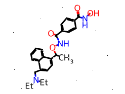 CCN(CC)Cc1ccc(C(C)ONC(=O)c2ccc(C(=O)NO)cc2)c2ccccc12